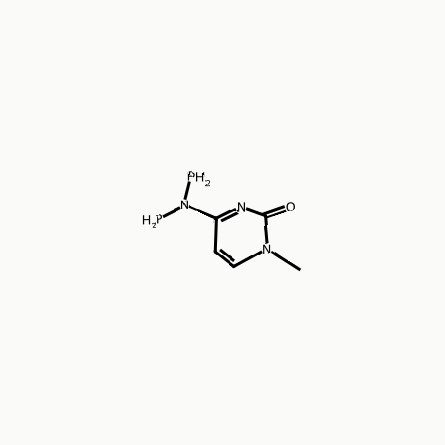 Cn1ccc(N(P)P)nc1=O